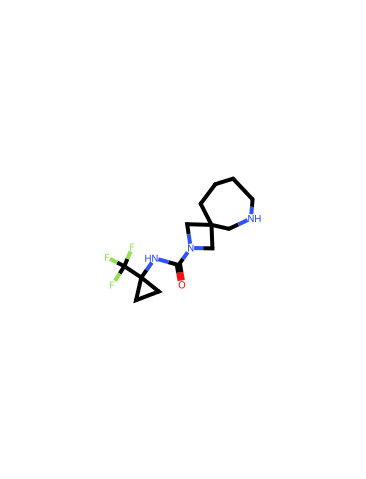 O=C(NC1(C(F)(F)F)CC1)N1CC2(CCCCNC2)C1